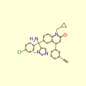 C#Cc1cccc(-c2cc(=O)n(CC3CC3)c3ccc(C(N)(c4ccc(Cl)cc4)c4cncn4C)cc23)c1